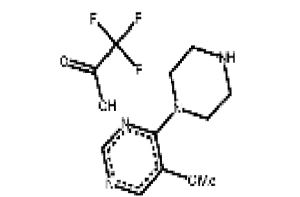 COc1cncnc1N1CCNCC1.O=C(O)C(F)(F)F